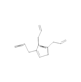 C=CCC1=CCC(CC=C)=C1CC=C